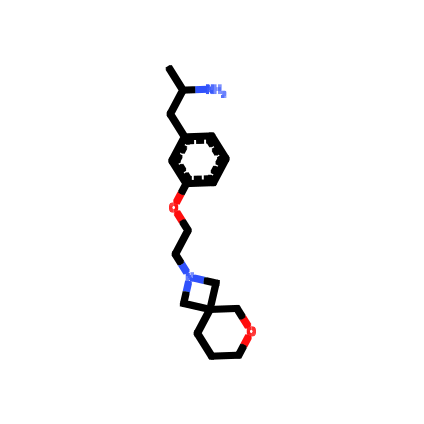 CC(N)Cc1cccc(OCCN2CC3(CCCOC3)C2)c1